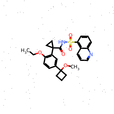 CCOc1ccc(C2(OC)CCC2)cc1C1(C(=O)NS(=O)(=O)c2cccc3ncccc23)CC1